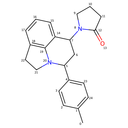 Cc1ccc(C2CC(N3CCCC3=O)c3cccc4c3N2CC4)cc1